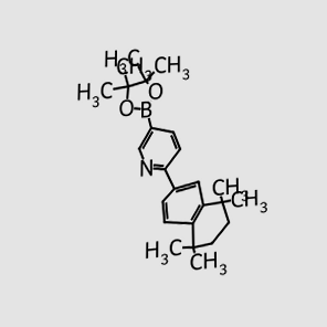 CC1(C)CCC(C)(C)c2cc(-c3ccc(B4OC(C)(C)C(C)(C)O4)cn3)ccc21